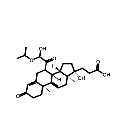 CC(C)OC(O)C(=O)[C@@H]1CC2=CC(=O)CC[C@]2(C)C2=CC[C@@]3(C)[C@@H](CC[C@@]3(O)CCC(=O)O)[C@@H]21